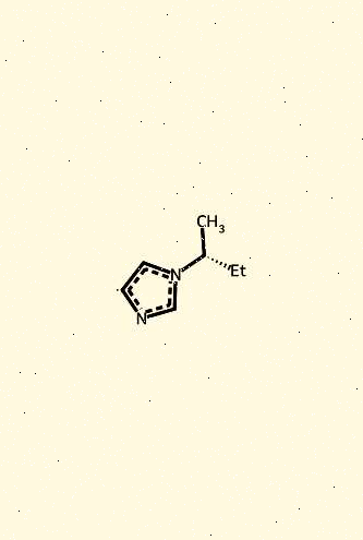 CC[C@@H](C)n1c[c]nc1